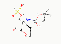 CC[C@@](COS(C)(=O)=O)(NC(=O)OC(C)(C)C)C(=O)O